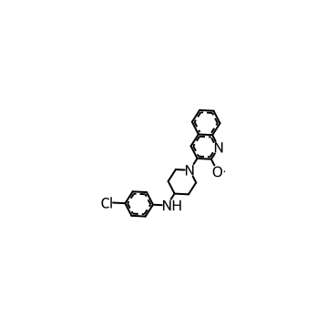 [O]c1nc2ccccc2cc1N1CCC(Nc2ccc(Cl)cc2)CC1